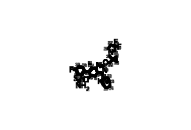 Nc1nc2c(-c3c(Cl)cc4c(N5CC6CCC(C5)N6)nc(OCC5(CN6CCC(F)(F)C6)CC5)nc4c3F)ccc(F)c2s1